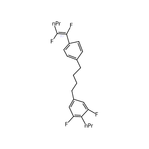 CCC/C(F)=C(\F)c1ccc(CCCCc2cc(F)c(CCC)c(F)c2)cc1